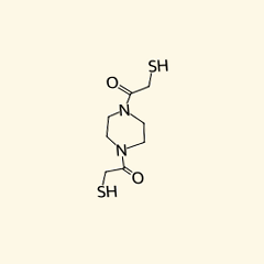 O=C(CS)N1CCN(C(=O)CS)CC1